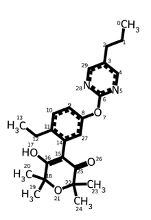 CCCc1cnc(Oc2ccc(CC)c(C3=C(O)C(C)(C)OC(C)(C)C3=O)c2)nc1